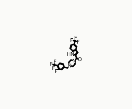 O=C(c1cc2cc(C(F)(F)F)ccc2[nH]1)N1CCN(Cc2ccc(C(F)(F)F)c(F)c2)CC1